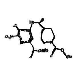 COC(=O)c1cc(NC(C)C2CCN(C(=O)OC(C)(C)C)CC2)c(Cl)c([N+](=O)[O-])c1